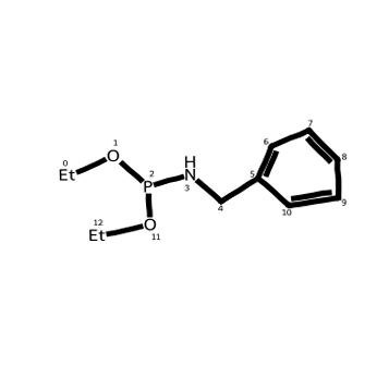 CCOP(NCc1ccccc1)OCC